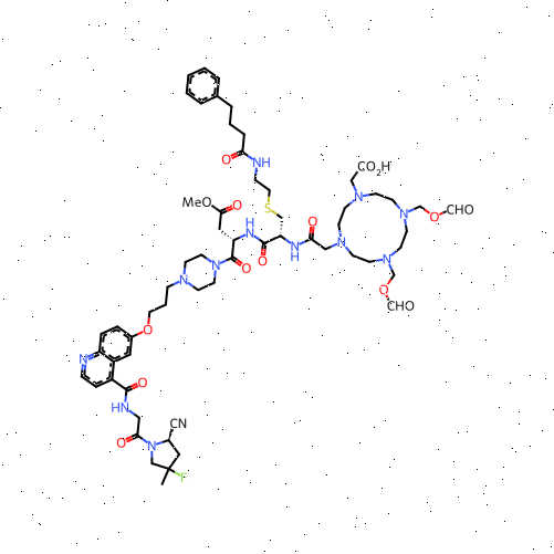 COC(=O)C[C@H](NC(=O)[C@H](CSCCNC(=O)CCCc1ccccc1)NC(=O)CN1CCN(COC=O)CCN(COC=O)CCN(CC(=O)O)CC1)C(=O)N1CCN(CCCOc2ccc3nccc(C(=O)NCC(=O)N4CC(C)(F)C[C@@H]4C#N)c3c2)CC1